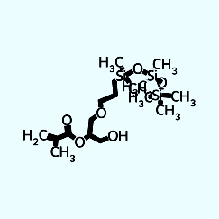 C=C(C)C(=O)OC(CO)COCCC[Si](C)(C)O[Si](C)(C)O[Si](C)(C)C